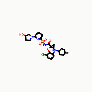 O=C(NS(=O)(=O)c1cccc(N2CCC(O)C2)n1)C1(Oc2c(Cl)cccc2NC2CCC(C(F)(F)F)CC2)CC1